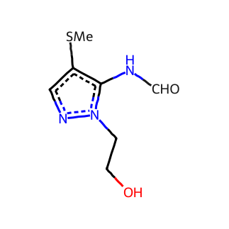 CSc1cnn(CCO)c1NC=O